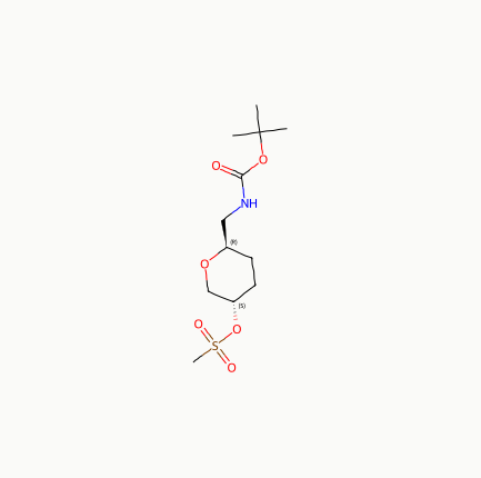 CC(C)(C)OC(=O)NC[C@H]1CC[C@H](OS(C)(=O)=O)CO1